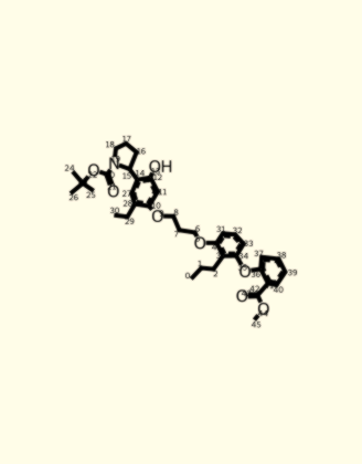 CCCc1c(OCCCOc2cc(O)c(C3CCCN3C(=O)OC(C)(C)C)cc2CC)cccc1Oc1ccccc1C(=O)OC